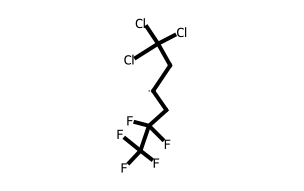 FC(F)(F)C(F)(F)C[CH]CC(Cl)(Cl)Cl